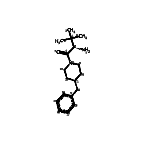 CC(C)(C)[C@H](N)C(=O)N1CCC(Cc2ccccc2)CC1